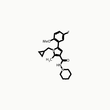 COc1ccc(F)cc1-c1cc(C(=O)NN2CCCCC2)c(C)n1CC1CC1